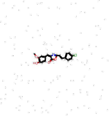 COc1cc(C=C2N=C(/C=C/c3ccc(Cl)cc3)OC2=O)ccc1O